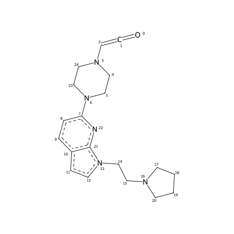 O=C=CN1CCN(c2ccc3ccn(CCN4CCCC4)c3n2)CC1